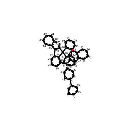 c1ccc(-c2ccc(N(c3ccc4ccccc4c3)c3cccc4c3C3(c5ccccc5-c5ccccc53)c3sc5ccccc5c3-4)cc2)cc1